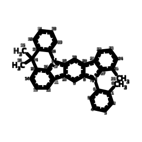 Cc1ccccc1-n1c2cc3c4cccc5c4n(c3cc2c2cccc(C)c21)-c1ccccc1C5(C)C